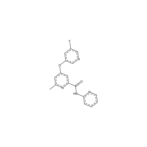 Cc1cc(Oc2cncc(F)c2)cc(C(=O)Nc2ccccn2)n1